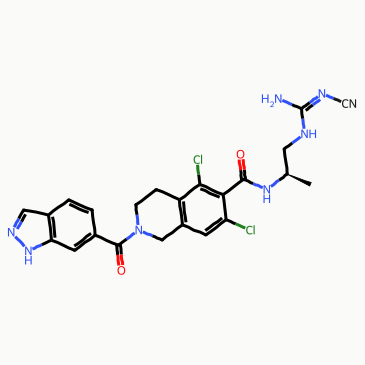 C[C@H](CN/C(N)=N\C#N)NC(=O)c1c(Cl)cc2c(c1Cl)CCN(C(=O)c1ccc3cn[nH]c3c1)C2